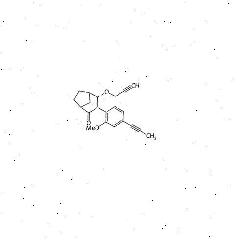 C#CCOC1=C(c2ccc(C#CC)cc2OC)C(=O)C2CCC1C2